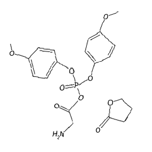 COc1ccc(OP(=O)(OC(=O)CN)Oc2ccc(OC)cc2)cc1.O=C1CCCO1